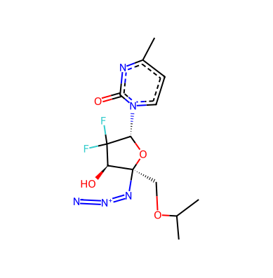 Cc1ccn([C@@H]2O[C@@](COC(C)C)(N=[N+]=[N-])[C@@H](O)C2(F)F)c(=O)n1